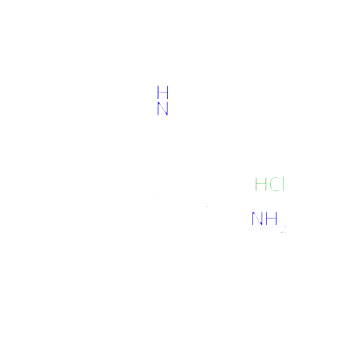 C=CC(C)(C)N.C=CCNCC=C.Cl